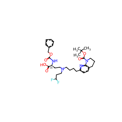 CC(C)(C)OC(=O)N1CCCc2ccc(CCCCN(CCC(F)F)CC[C@H](NC(=O)OCc3ccccc3)C(=O)O)nc21